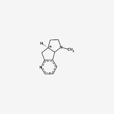 CN1CC[C@@H]2Cc3ncccc3C21